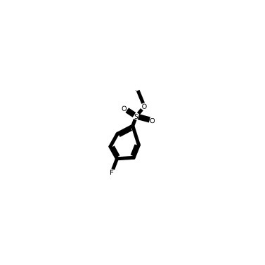 [CH2]OS(=O)(=O)c1ccc(F)cc1